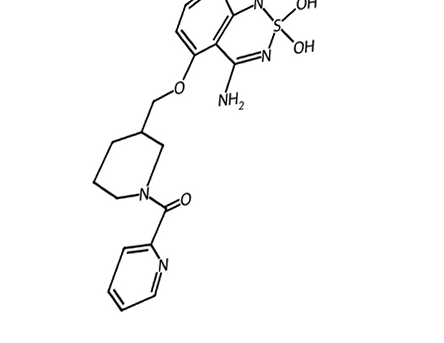 NC1=NS(O)(O)Nc2cccc(OCC3CCCN(C(=O)c4ccccn4)C3)c21